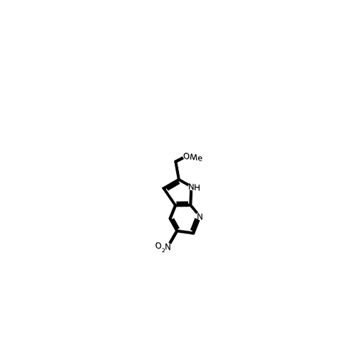 COCc1cc2cc([N+](=O)[O-])cnc2[nH]1